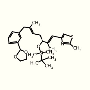 CC(=CC[C@H](O[Si](C)(C)C(C)(C)C)C(C)=Cc1csc(C)n1)Cc1cccc(C2OCCO2)c1